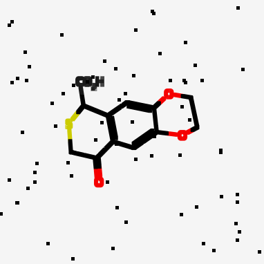 O=C1CSC(C(=O)O)c2cc3c(cc21)OCCO3